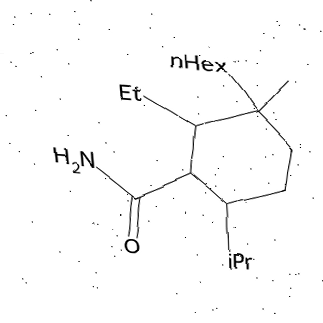 CCCCCCC1(C)CCC(C(C)C)C(C(N)=O)C1CC